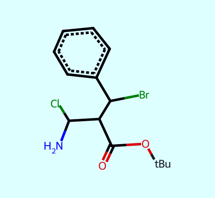 CC(C)(C)OC(=O)C(C(N)Cl)C(Br)c1ccccc1